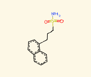 NS(=O)(=O)CCCc1cccc2ccccc12